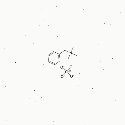 C[N+](C)(C)Cc1ccccc1.[O-][Cl+3]([O-])([O-])[O-]